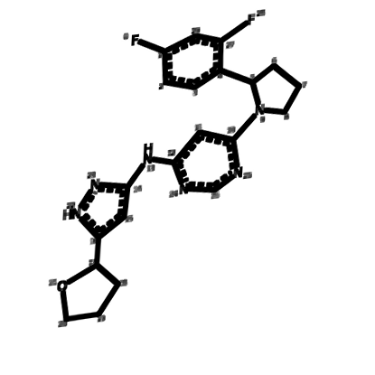 Fc1ccc(C2CCCN2c2cc(Nc3cc(C4CCCO4)[nH]n3)ncn2)c(F)c1